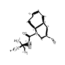 CC(C)(C)NC(=O)N1CC(Br)=Cc2ccccc21